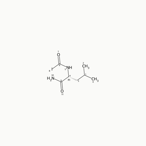 CC(C)C[C@@H](NC(=O)I)C(N)=O